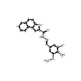 COc1cc(/C=N/NC(=O)c2cc3c(ccc4ccccc43)o2)cc(I)c1O